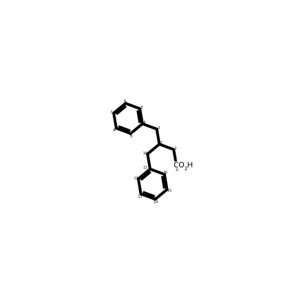 O=C(O)CC(Cc1ccccc1)Cc1ccccc1